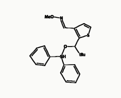 CON=Cc1ccsc1C(O[SiH](c1ccccc1)c1ccccc1)C(C)(C)C